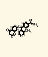 Cc1cnccc1C(Oc1ccc2c(c1)OCCC2=O)c1ccc(C(N)=O)cc1